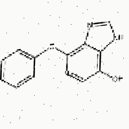 Oc1cnc(Oc2ccccc2)c2nc[nH]c12